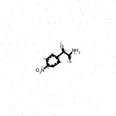 NC(=S)C(=O)c1ccc([N+](=O)[O-])cc1